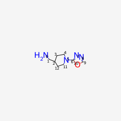 NCC1CCN(c2nnco2)CC1